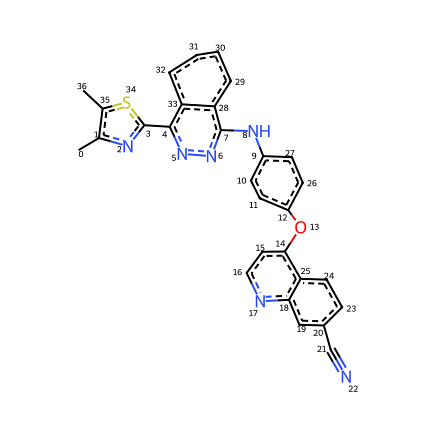 Cc1nc(-c2nnc(Nc3ccc(Oc4ccnc5cc(C#N)ccc45)cc3)c3ccccc23)sc1C